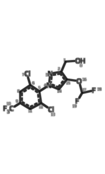 OCc1nn(-c2c(Cl)cc(C(F)(F)F)cc2Cl)cc1OC(F)F